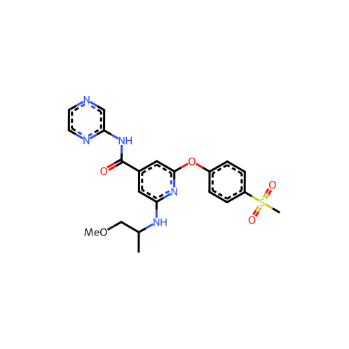 COCC(C)Nc1cc(C(=O)Nc2cnccn2)cc(Oc2ccc(S(C)(=O)=O)cc2)n1